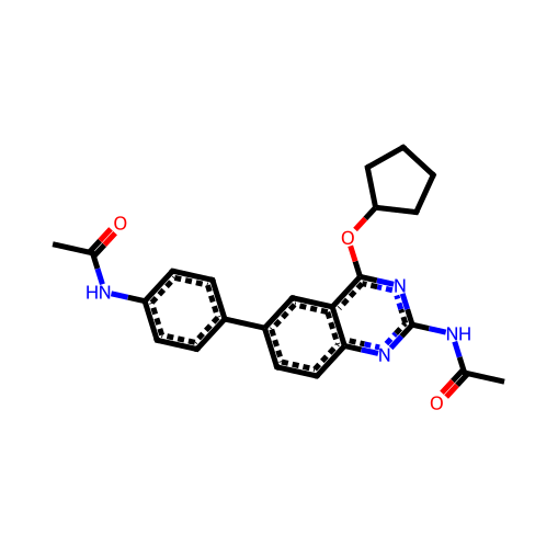 CC(=O)Nc1ccc(-c2ccc3nc(NC(C)=O)nc(OC4CCCC4)c3c2)cc1